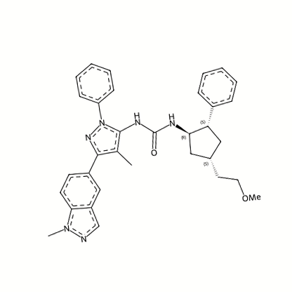 COCC[C@@H]1C[C@@H](NC(=O)Nc2c(C)c(-c3ccc4c(cnn4C)c3)nn2-c2ccccc2)[C@H](c2ccccc2)C1